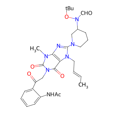 C/C=C/Cn1c(N2CCCC(N(C=O)OC(C)(C)C)C2)nc2c1c(=O)n(CC(=O)c1ccccc1NC(C)=O)c(=O)n2C